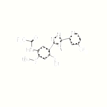 CCSc1cc(SC(C)(C)C)c(NC(=O)C(F)(F)F)cc1-c1nnc(-c2cc(C(F)(F)F)ccn2)n1C